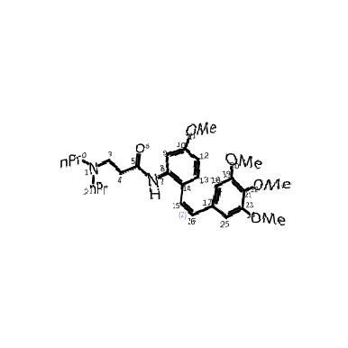 CCCN(CCC)CCC(=O)Nc1cc(OC)ccc1/C=C\c1cc(OC)c(OC)c(OC)c1